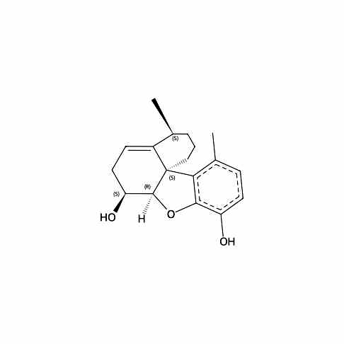 Cc1ccc(O)c2c1[C@]13CCC[C@H](C)C1=CC[C@H](O)[C@@H]3O2